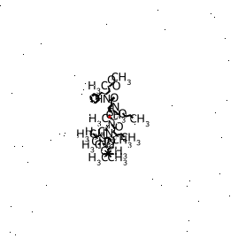 CCCO[C@H](C[C@H](C(C)C)N(CCC)C(=O)[C@@H](NC(=O)[C@H](CC(C)C)N(C)C(=O)OC(C)(C)C)[C@@H](C)CC)c1nc(C(=O)N[C@@H](Cc2ccccc2)C[C@H](C)C(=O)OC)cs1